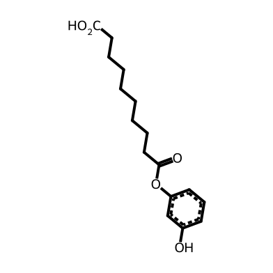 O=C(O)CCCCCCCCC(=O)Oc1cccc(O)c1